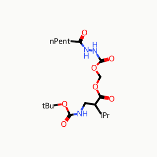 CCCCCC(=O)NNC(=O)OCOC(=O)C(CNC(=O)OC(C)(C)C)C(C)C